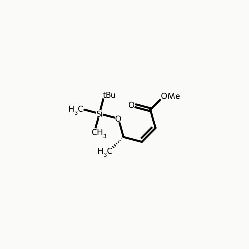 COC(=O)/C=C\[C@H](C)O[Si](C)(C)C(C)(C)C